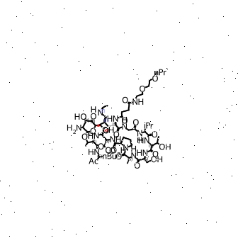 C/C=N\C=C(/C)C[C@H](NC(=O)CCC(=O)NCCOCCOCCC)C(=O)NCC(=O)NC(C(=O)N[C@H](C(=O)N[C@@H](CO)C(=O)N[C@@H](C)C(=O)N1CCCC1C(=O)N[C@@H](CC(=O)O)C(=O)N[C@H](C(=O)N[C@@H](CCCC)C(C)=O)C(C)O[C@H]1OC(CO)[C@H](O)[C@H](O)C1N)C(C)O)C(C)C